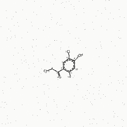 O=C(CCl)c1cc(Cl)c(O)cc1F